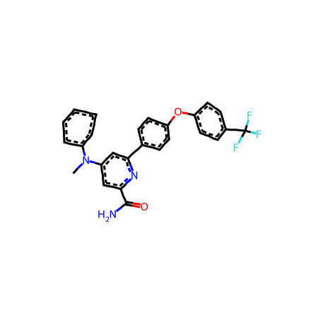 CN(c1ccccc1)c1cc(C(N)=O)nc(-c2ccc(Oc3ccc(C(F)(F)F)cc3)cc2)c1